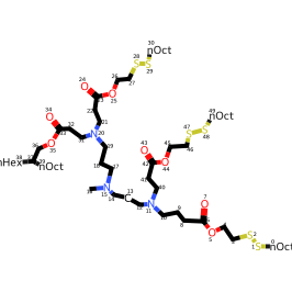 CCCCCCCCSSCCOC(=O)CCCN(CCCN(C)CCCN(CCC(=O)OCCSSCCCCCCCC)CCC(=O)OCC(CCCCCC)CCCCCCCC)CCC(=O)OCCSSCCCCCCCC